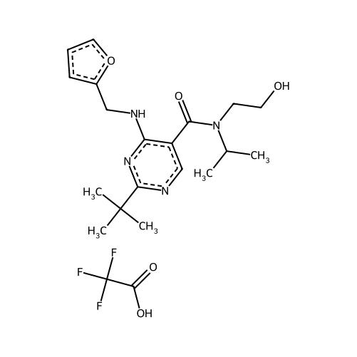 CC(C)N(CCO)C(=O)c1cnc(C(C)(C)C)nc1NCc1ccco1.O=C(O)C(F)(F)F